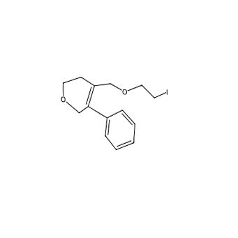 ICCOCC1=C(c2ccccc2)COCC1